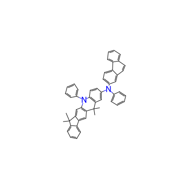 CC1(C)c2ccccc2-c2cc3c(cc21)N(c1ccccc1)c1ccc(N(c2ccccc2)c2ccc4c(ccc5ccccc54)c2)cc1C3(C)C